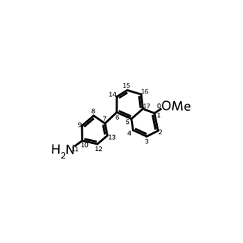 COc1cccc2c(-c3ccc(N)cc3)cccc12